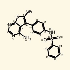 CC(C)c1sc2ncnc(N)c2c1-c1ccc(NS(=O)(=O)c2ccccc2)cc1